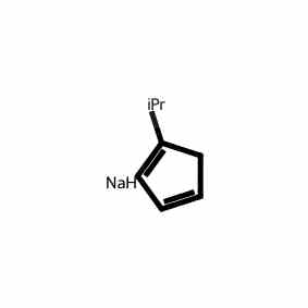 CC(C)C1=CC=CC1.[NaH]